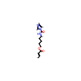 CC=CC(=O)OCCCCCNC(=O)n1ccnc1